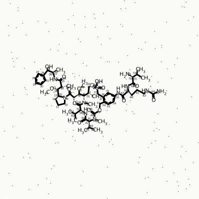 CC[C@H](C)[C@@H]([C@@H](CC(=O)N1CCC[C@H]1[C@H](OC)[C@@H](C)C(=O)N[C@H](C)[C@@H](O)c1ccccc1)OC)N(C)C(=O)[C@@H](NC(=O)[C@H](C(C)C)N(C)C(=O)OCc1ccc(NC(=O)[C@H](CCCNC(N)=O)NC(=O)[C@@H](N)C(C)C)cc1CS(=O)(=O)O)C(C)C